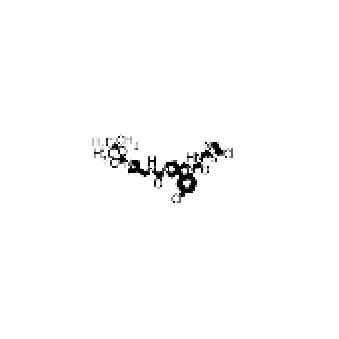 CC(C)(C)OC(=O)N1CC(CNC(=O)N2CCC3(C2)CN(C(=O)Nc2ncc(Cl)s2)c2ccc(Cl)cc23)C1